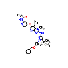 CC(=O)Nc1cc(Oc2cnc3nc(Nc4cc(C(C)(C)C)n([C@H]5C[C@@H](OCc6ccccc6)C5)n4)n(C)c3c2C)ccn1